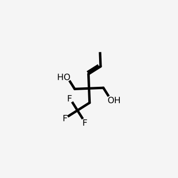 C/C=C/C(CO)(CO)CC(F)(F)F